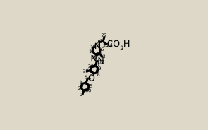 Cc1ccc(COc2ccc(-c3ncc4c(n3)CCN(CC(C)CC(=O)O)C4)cc2C)cc1